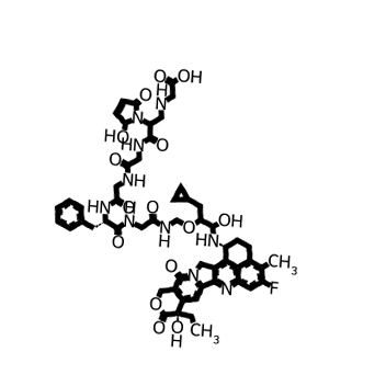 CC[C@@]1(O)C(=O)OCc2c1cc1n(c2=O)Cc2c-1nc1cc(F)c(C)c3c1c2[C@H](NC(O)C(CC1CC1)OCNC(=O)CNC(=O)[C@H](Cc1ccccc1)NC(=O)CNC(=O)CNC(=O)C(CNCC(=O)O)N1C(=O)C=CC1O)CC3